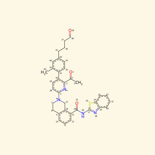 CC(=O)c1nc(N2CCc3cccc(C(=O)Nc4nc5ccccc5s4)c3C2)ccc1-c1ccc(CCCC=O)cc1C